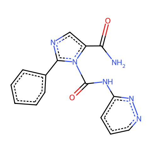 NC(=O)c1cnc(-c2ccccc2)n1C(=O)Nc1cccnn1